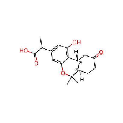 CC(C(=O)O)c1cc(O)c2c(c1)OC(C)(C)[C@@H]1CCC(=O)C[C@@H]21